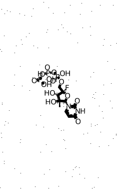 C[C@]1(O)[C@H](n2ccc(=O)[nH]c2=O)O[C@](F)(COP(=O)(O)OP(=O)(O)O[PH](=O)O)[C@H]1O